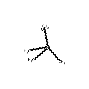 C=CC(=O)CCCCCCCCCCC[N+](CCCCCCCCCCCC)(CCCCCCCCCCCC)CCCCCCCCCCCC